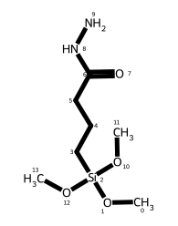 CO[Si](CCCC(=O)NN)(OC)OC